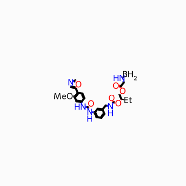 BNCC(=O)OC[C@@H](CC)OC(=O)NCc1cccc(NC(=O)Nc2ccc(-c3cnco3)c(OC)c2)c1